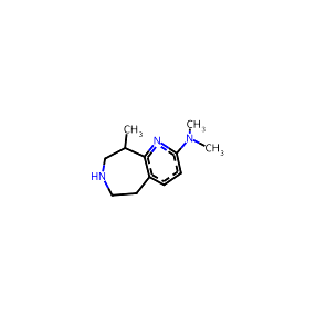 CC1CNCCc2ccc(N(C)C)nc21